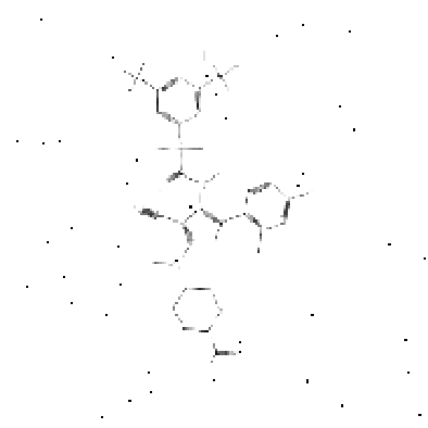 Cc1cc(F)ccc1-c1sc(N(C)[C@H]2CC[C@H](C(=O)O)CC2)c(C#N)c1N(C)C(=O)C(C)(C)c1cc(C(F)(F)F)cc(C(F)(F)F)c1